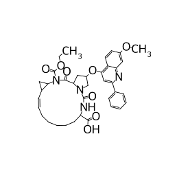 CCOC(=O)N1C(=O)C2CC(Oc3cc(-c4ccccc4)nc4cc(OC)ccc34)CN2C(=O)NC(C(=O)O)CCCCCC=CC2CC21